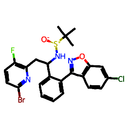 CC(C)(C)[S@+]([O-])NC(Cc1nc(Br)ccc1F)c1ccccc1-c1noc2cc(Cl)ccc12